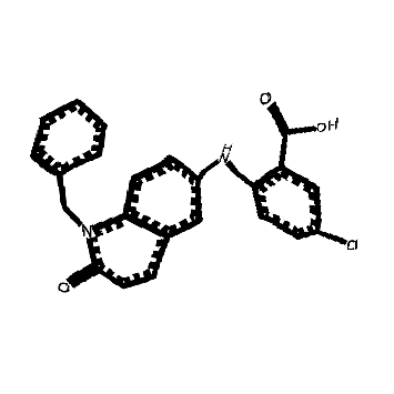 O=C(O)c1cc(Cl)ccc1Nc1ccc2c(ccc(=O)n2Cc2ccccc2)c1